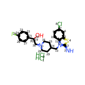 Cl.Cl.N=c1sc2cc(Cl)ccc2n1CC1CCN(C[C@H](O)c2ccc(F)cc2)CC1